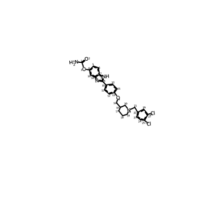 NC(=O)Oc1ccc2[nH]c(-c3ccc(OCC4CCCN(Cc5ccc(Cl)c(Cl)c5)C4)cc3)nc2c1